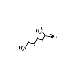 CCCCC(C)CCCCN